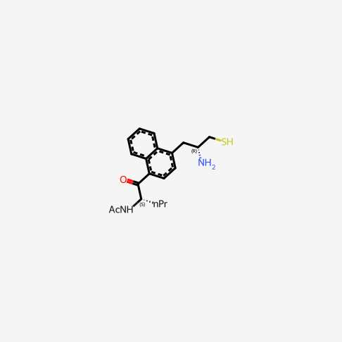 [CH2]CC[C@H](NC(C)=O)C(=O)c1ccc(C[C@@H](N)CS)c2ccccc12